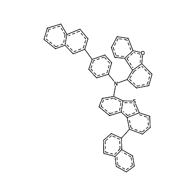 c1ccc2cc(-c3ccc(N(c4cccc5c4sc4cccc(-c6cccc7ccccc67)c45)c4cccc5oc6ccccc6c45)cc3)ccc2c1